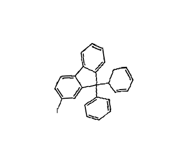 Ic1ccc2c(c1)C(c1ccccc1)(C1C=CC=CC1)c1ccccc1-2